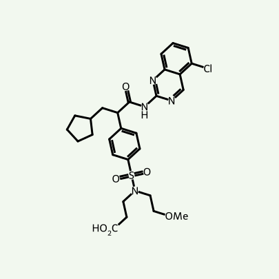 COCCN(CCC(=O)O)S(=O)(=O)c1ccc(C(CC2CCCC2)C(=O)Nc2ncc3c(Cl)cccc3n2)cc1